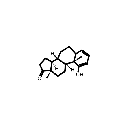 C[C@]12C(O)=CC=CC1CC[C@@H]1[C@@H]2CC[C@]2(C)C(=O)CC[C@@H]12